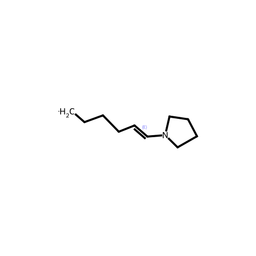 [CH2]CCC/C=C/N1CCCC1